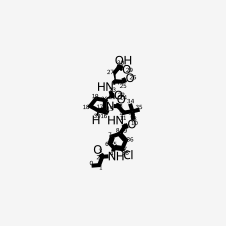 CCC(=O)Nc1ccc(C(=O)N[C@H](C(=O)N2C[C@@H]3CC[C@@]2(C(=O)N[C@H](C=O)CC(=O)O)C3)C(C)(C)C)cc1Cl